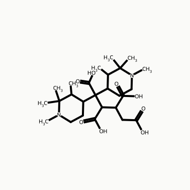 CC1C(C(C(=O)O)(C2CCN(C)C(C)(C)C2C)C(C(=O)O)C(CC(=O)O)C(=O)O)CCN(C)C1(C)C